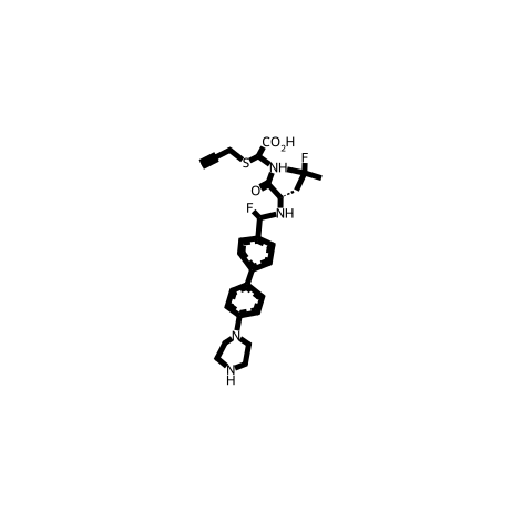 C#CCSC(NC(=O)[C@H](CC(C)(C)F)NC(F)c1ccc(-c2ccc(N3CCNCC3)cc2)cc1)C(=O)O